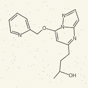 CC(O)CCc1cc(OCc2ccccn2)n2nccc2n1